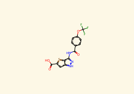 O=C(Nc1n[nH]c2cc(C(=O)O)sc12)c1ccc(OC(F)(F)F)cc1